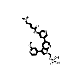 COc1cc(-c2cn(COP(=O)(O)O)c3ncc(-c4cncc(NC(=O)/C=C/CN(C)C)c4)cc23)ccn1